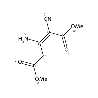 COC(=O)CC(N)=C(C#N)C(=O)OC